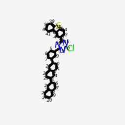 Clc1nc(-c2cccc(-c3ccc4cc(-c5ccc6ccccc6c5)ccc4c3)c2)nc(-c2ccc3sc4ccccc4c3c2)n1